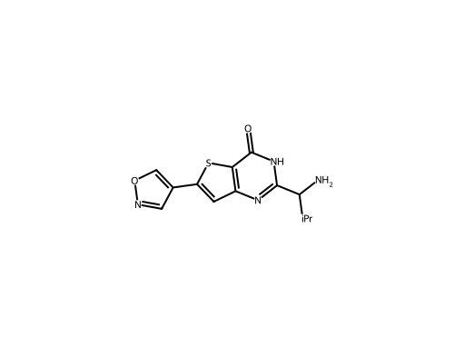 CC(C)C(N)c1nc2cc(-c3cnoc3)sc2c(=O)[nH]1